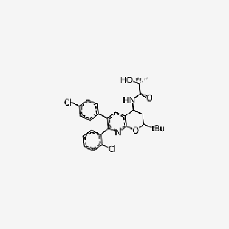 C[C@@H](O)C(=O)NC1CC(C(C)(C)C)Oc2nc(-c3ccccc3Cl)c(-c3ccc(Cl)cc3)cc21